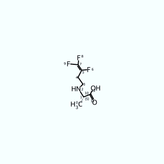 C[C@H](NCCC(F)=C(F)F)C(=O)O